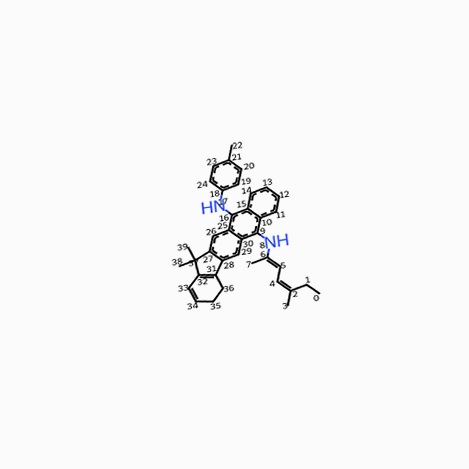 CC/C(C)=C\C=C(/C)Nc1c2ccccc2c(Nc2ccc(C)cc2)c2cc3c(cc12)C1=C(C=CCC1)C3(C)C